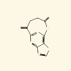 O=C1CCC(=O)c2nc(c3[nH]cnc3n2)N1